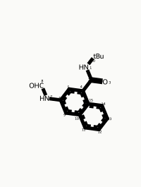 CC(C)(C)NC(=O)c1cc(NC=O)cc2ccccc12